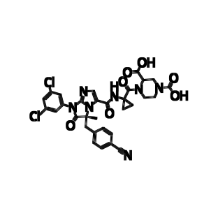 C[C@@]1(Cc2ccc(C#N)cc2)C(=O)N(c2cc(Cl)cc(Cl)c2)c2ncc(C(=O)NC3(C(=O)N4CCN(C(=O)O)CC4C(=O)O)CC3)n21